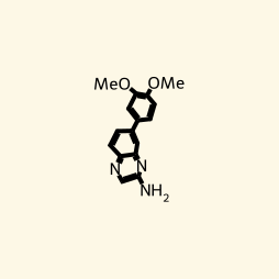 COc1ccc(-c2ccc3ncc(N)nc3c2)cc1OC